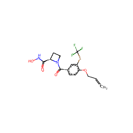 C=CCOc1ccc(C(=O)N2CC[C@@H]2C(=O)NO)cc1SC(F)(F)F